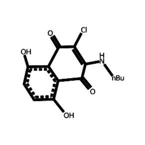 CCCCNC1=C(Cl)C(=O)c2c(O)ccc(O)c2C1=O